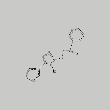 CCn1c(SCC(=O)c2cccnc2)nnc1-c1ccccc1